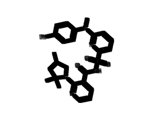 CC1CN(c2ncccc2C(=O)NS(=O)(=O)c2cccc(N(C)c3ccc(C(C)C)cc3)n2)C(C)(C)C1